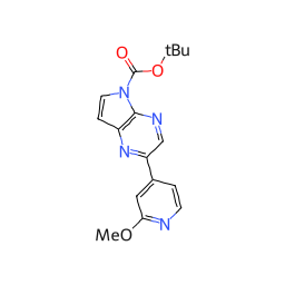 COc1cc(-c2cnc3c(ccn3C(=O)OC(C)(C)C)n2)ccn1